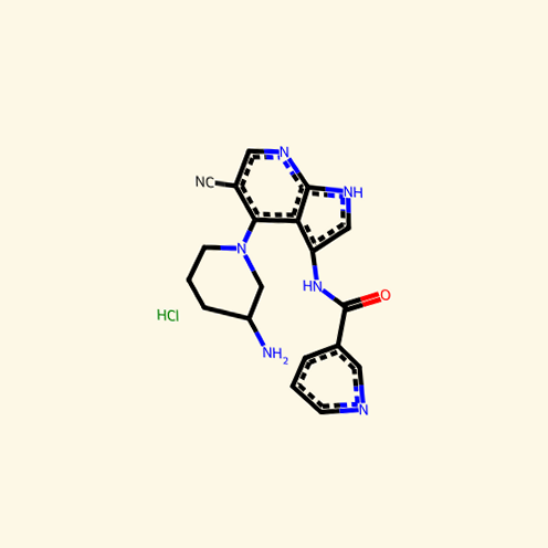 Cl.N#Cc1cnc2[nH]cc(NC(=O)c3cccnc3)c2c1N1CCCC(N)C1